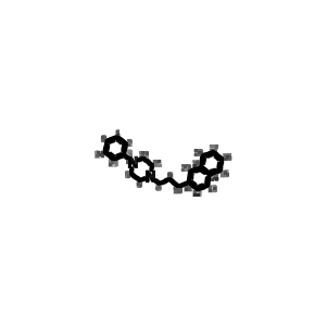 c1ccc(N2CCN(CCCc3ccc4ccccc4c3)CC2)cc1